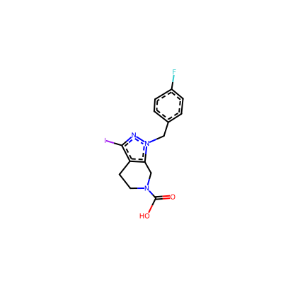 O=C(O)N1CCc2c(I)nn(Cc3ccc(F)cc3)c2C1